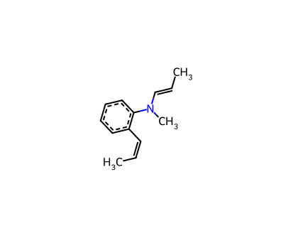 C/C=C\c1ccccc1N(C)/C=C/C